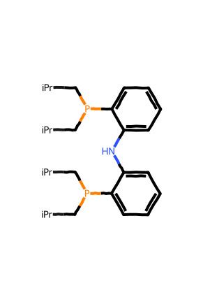 CC(C)CP(CC(C)C)c1ccccc1Nc1ccccc1P(CC(C)C)CC(C)C